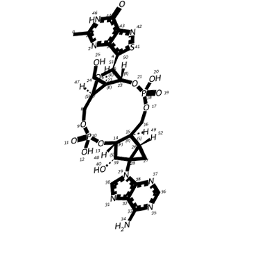 Cc1nc2c([C@@H]3O[C@@H]4COP(=O)(O)O[C@@H]5[C@@H](COP(=O)(O)O[C@@H]3[C@@H]4CO)[C@@H]3CC3(n3cnc4c(N)ncnc43)[C@@H]5O)snc2c(=O)[nH]1